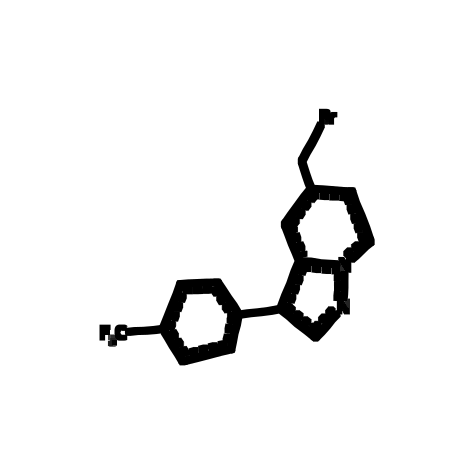 FC(F)(F)c1ccc(-c2cnn3ccc(CBr)cc23)cc1